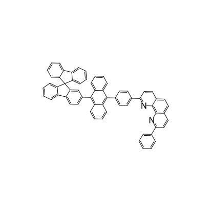 c1ccc(-c2ccc3ccc4ccc(-c5ccc(-c6c7ccccc7c(-c7ccc8c(c7)C7(c9ccccc9-c9ccccc97)c7ccccc7-8)c7ccccc67)cc5)nc4c3n2)cc1